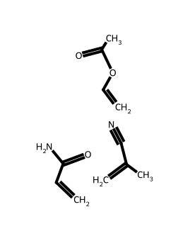 C=C(C)C#N.C=CC(N)=O.C=COC(C)=O